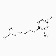 CN(C)CCCCOc1ncc(Br)cc1N